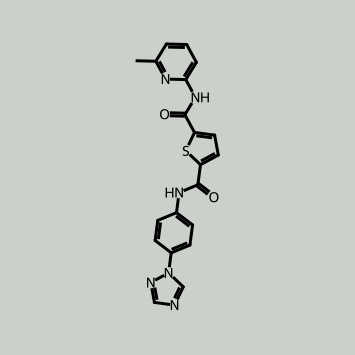 Cc1cccc(NC(=O)c2ccc(C(=O)Nc3ccc(-n4cncn4)cc3)s2)n1